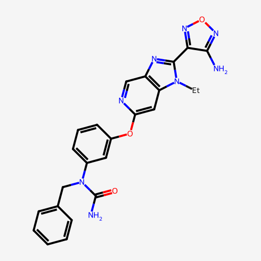 CCn1c(-c2nonc2N)nc2cnc(Oc3cccc(N(Cc4ccccc4)C(N)=O)c3)cc21